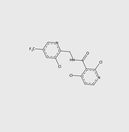 O=C(NCc1ncc(C(F)(F)F)cc1Cl)c1c(Cl)ccnc1Cl